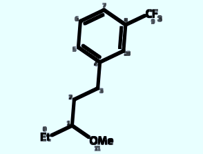 [CH2]CC(CCc1cccc(C(F)(F)F)c1)OC